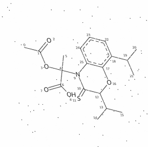 CC(=O)OC(C)(C(=O)O)N1C(=S)C(C(C)C)Oc2c(C(C)C)cccc21